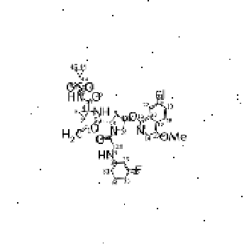 C=C[C@@H]1C[C@]1(NC(=O)[C@@H]1C[C@@H](Oc2ncc(OC)c3ccc(Cl)cc23)CN1C(=O)CNc1cccc(F)c1)C(=O)NS(=O)(=O)C1CC1